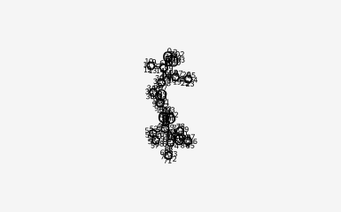 CC1(C)OB(c2cc(-c3ccccc3)cc(N(c3ccc(-c4ccccc4)cc3)c3ccc(-c4cccc5c4oc4cc(CC6(C)OB(c7cc(-c8cccc9ccccc89)cc(N(c8ccc(-c9ccccc9)cc8)c8cccc9c8oc8ccccc89)c7)OC6(C)C)ccc45)cc3)c2)OC1(C)C